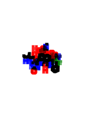 C=NOS(=O)(=O)c1cc2c(S(=O)(=O)ON=C)ccc(Nc3nc(NC(C(=O)O)C(C)CC)nc(OC)n3)c2c(O)c1N=Nc1ccccc1C(F)(F)F